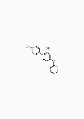 Oc1cc(Oc2ccccc2)ccc1-c1ccc(Cl)cc1